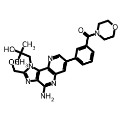 CC(C)(O)Cn1c(CO)nc2c(N)nc3cc(-c4cccc(C(=O)N5CCOCC5)c4)cnc3c21